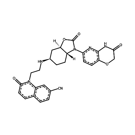 N#Cc1ccc2ccc(=O)n(CCN[C@@H]3CC[C@@H]4[C@@H](C3)OC(=O)N4c3ccc4c(n3)NC(=O)CO4)c2c1